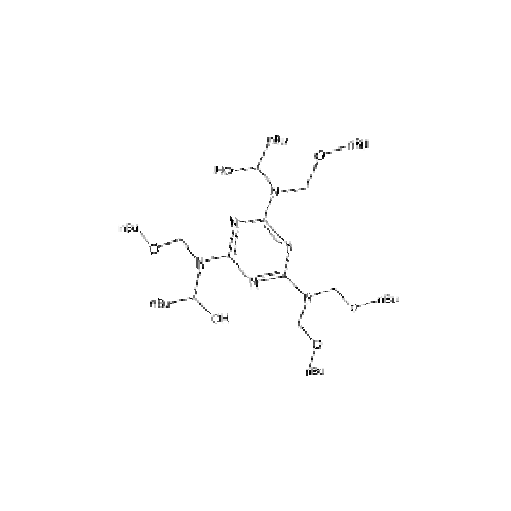 CCCCOCN(COCCCC)c1nc(N(COCCCC)C(O)CCCC)nc(N(COCCCC)C(O)CCCC)n1